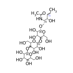 C/C=C/C(O)[C@H](CO[C@@H]1OC(CO)[C@@H](O[C@@H]2OC(CO)[C@H](O[C@H]3OC(CO)[C@H](O)C(O)C3O)C(O)C2O)C(O)C1O)NC(C)=O